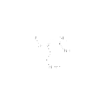 CCCCCCCC(=O)OF.N=CN